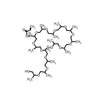 C=CC(=O)O.CC(O)COC(C)COC(C)COC(C)COC(C)COC(C)COC(C)COC(C)COC(C)COC(C)COC(C)COC(C)COC(C)CO